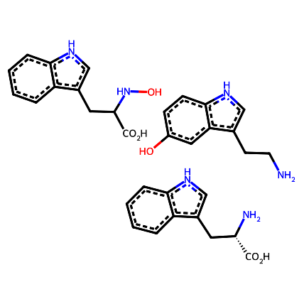 NCCc1c[nH]c2ccc(O)cc12.N[C@@H](Cc1c[nH]c2ccccc12)C(=O)O.O=C(O)C(Cc1c[nH]c2ccccc12)NO